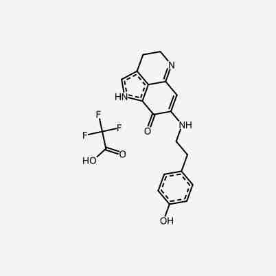 O=C(O)C(F)(F)F.O=C1C(NCCc2ccc(O)cc2)=CC2=NCCc3c[nH]c1c32